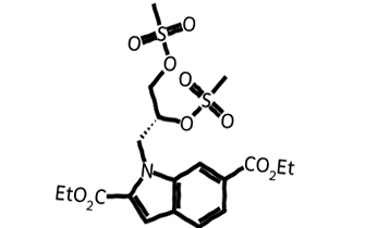 CCOC(=O)c1ccc2cc(C(=O)OCC)n(C[C@H](COS(C)(=O)=O)OS(C)(=O)=O)c2c1